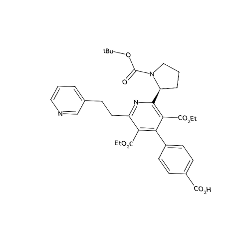 CCOC(=O)c1c(CCc2cccnc2)nc([C@@H]2CCCN2C(=O)OC(C)(C)C)c(C(=O)OCC)c1-c1ccc(C(=O)O)cc1